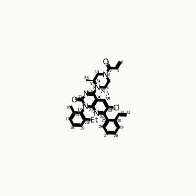 C=CC(=O)N1C[C@H](C)N(c2nc(=O)n(-c3c(C)cccc3CC)c3nc(-c4ccccc4C=C)c(Cl)cc23)[C@@H](C)C1